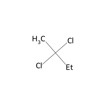 CCC(C)(Cl)Cl